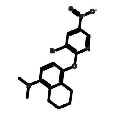 CN(C)c1ccc(Oc2ncc([N+](=O)[O-])cc2Br)c2c1CCCC2